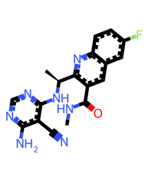 CNC(=O)c1cc2cc(F)ccc2nc1[C@H](C)Nc1ncnc(N)c1C#N